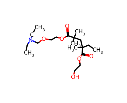 CCN(CC)COCCOC(=O)C(C)(C)CC(C)(CC)C(=O)OCCO